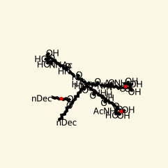 CCCCCCCCCCCCCCCCCCOCC(CCCCCCC(=O)NC(COCCC(=O)NCCCNC(=O)CCCCCCC1OC(CO)C(O)C(O)C1NC(C)=O)(COCCC(=O)NCCCNC(=O)CCCCOC1OC(CO)C(O)C(O)C1NC(C)=O)COCCC(=O)NCCCNC(=O)CCCCOC1OC(CO)C(O)C(O)C1NC(C)=O)OCCCCCCCCCCCCCCCCCC